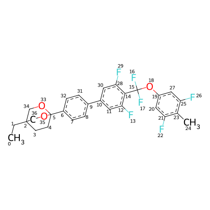 CCC12CCC(c3ccc(-c4cc(F)c(C(F)(F)Oc5cc(F)c(C)c(F)c5)c(F)c4)cc3)(OC1)OC2